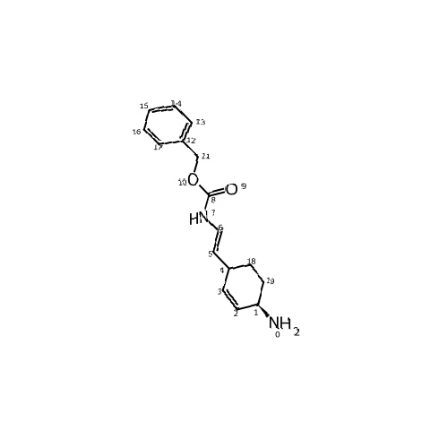 N[C@H]1C=CC(/C=C/NC(=O)OCc2ccccc2)CC1